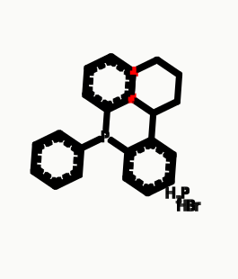 Br.P.c1ccc(P(c2ccccc2)c2ccccc2C2CCCCC2)cc1